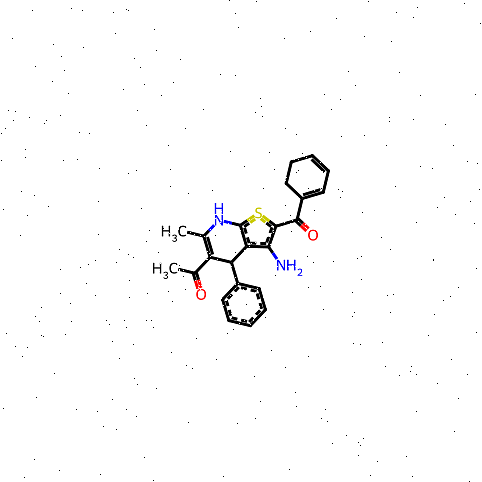 CC(=O)C1=C(C)Nc2sc(C(=O)C3=CC=CCC3)c(N)c2C1c1ccccc1